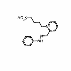 O=S(=O)(O)CCCC[n+]1ccccc1C=NNc1ccccc1